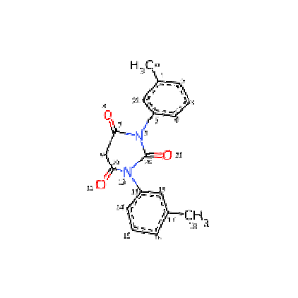 Cc1cccc(N2C(=O)CC(=O)N(c3cccc(C)c3)C2=O)c1